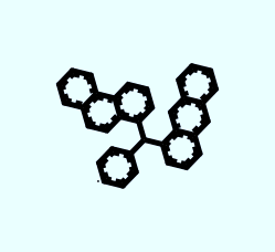 [c]1ccc(C(c2cccc3cc4ccccc4cc23)c2cccc3c2ccc2ccccc23)cc1